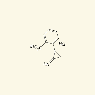 CCOC(=O)c1ccccc1C1CC1=N.Cl